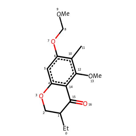 CCC1COc2cc(OCOC)c(C)c(OC)c2C1=O